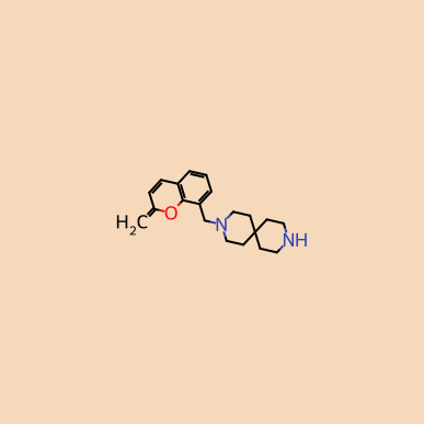 C=C1C=Cc2cccc(CN3CCC4(CCNCC4)CC3)c2O1